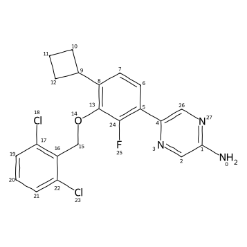 Nc1cnc(-c2ccc(C3CCC3)c(OCc3c(Cl)cccc3Cl)c2F)cn1